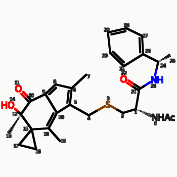 CC(=O)N[C@H](CSCC1=C(C)C=C2C(=O)[C@](C)(O)C3(CC3)C(C)=C21)C(=O)N[C@@H](C)c1ccccc1